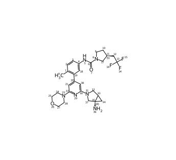 Cc1ccc(NC(=O)N2CC[C@@H](CC(F)(F)F)C2)cc1-c1cc(N2CCOCC2)nc(N2CC3C[C@]3(N)C2)c1